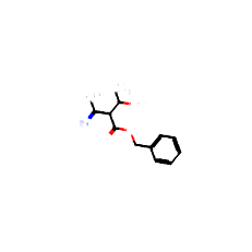 CC(=N)C(C(=O)OCc1ccccc1)C(C)O